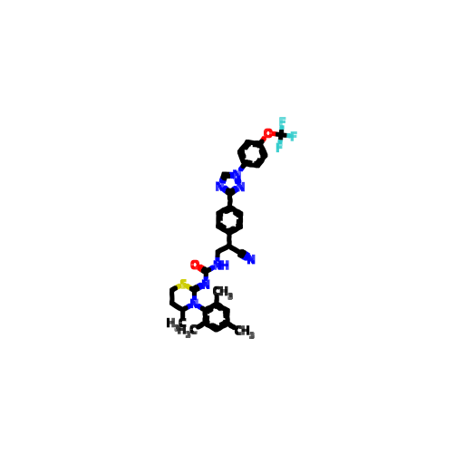 Cc1cc(C)c(N2/C(=N/C(=O)NCC(C#N)c3ccc(-c4ncn(-c5ccc(OC(F)(F)F)cc5)n4)cc3)SCCC2C)c(C)c1